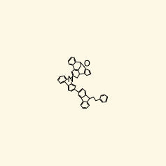 O=C1C2=C(CC=C2)C2CC(n3c4ccccc4c4ccc(-c5ccc6c(c5)-c5ccccc5C6CCc5ccccc5)cc43)=CC3=C2CC1c1ccccc13